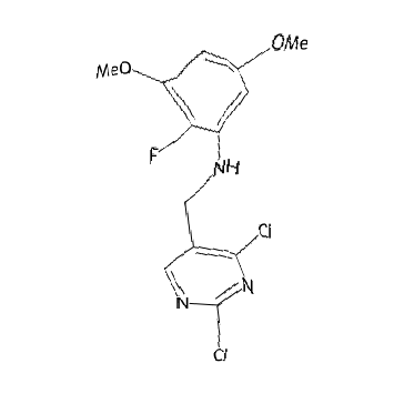 COc1cc(NCc2cnc(Cl)nc2Cl)c(F)c(OC)c1